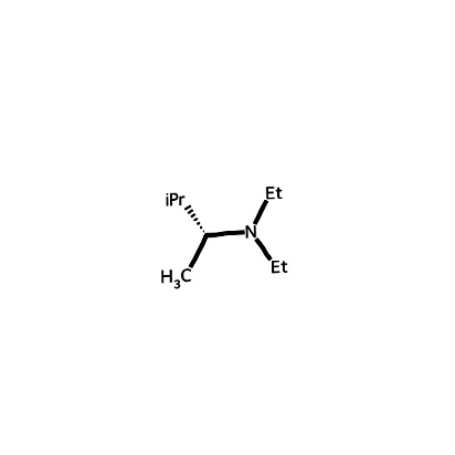 CCN(CC)[C@H](C)C(C)C